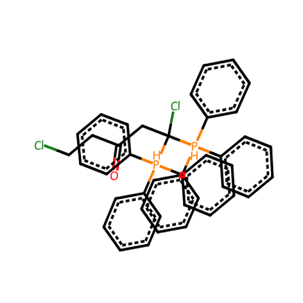 O=C(CCCl)CC(Cl)([PH](c1ccccc1)(c1ccccc1)c1ccccc1)[PH](c1ccccc1)(c1ccccc1)c1ccccc1